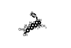 C=C(C)[C@@H]1CC[C@]2(NCCN3CCS(=O)(=O)CC3)CC[C@]3(C)[C@H](CC[C@@H]4[C@@]5(C)CC=C(C6=CCC(CCO)(OC=O)CC6)C(C)(C)[C@@H]5CC[C@]43C)[C@@H]12